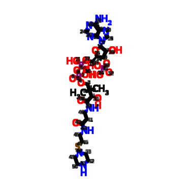 CC(C)(COP(=O)(O)OP(=O)(O)OC[C@H]1O[C@@H](n2cnc3c(N)ncnc32)[C@H](O)[C@@H]1OP(=O)(O)O)[C@@H](O)C(=O)NCCC(=O)NCCSN1CCNCC1